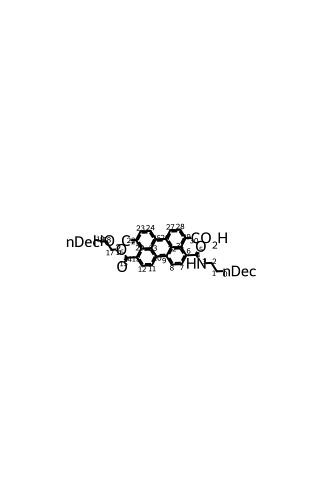 CCCCCCCCCCCCNC(=O)c1ccc2c3ccc(C(=O)OCCCCCCCCCCCC)c4c(C(=O)O)ccc(c5ccc(C(=O)O)c1c52)c43